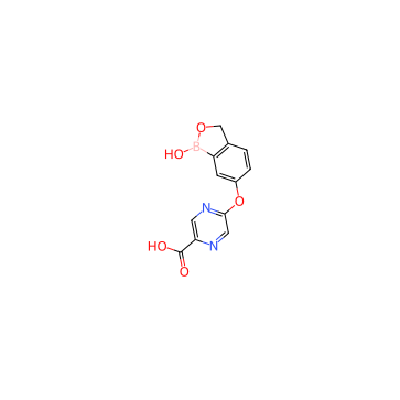 O=C(O)c1cnc(Oc2ccc3c(c2)B(O)OC3)cn1